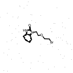 O=c1[nH]c2ccccc2n1CCOCCBr